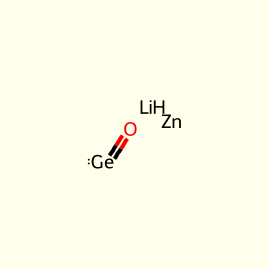 [LiH].[O]=[Ge].[Zn]